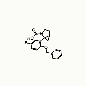 O=C(O)N1CCC2CC21c1cc(F)ccc1OCc1ccccc1